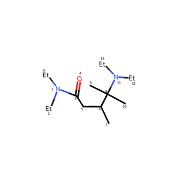 CCN(CC)C(=O)CC(C)C(C)(C)N(CC)CC